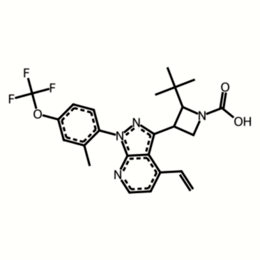 C=Cc1ccnc2c1c(C1CN(C(=O)O)C1C(C)(C)C)nn2-c1ccc(OC(F)(F)F)cc1C